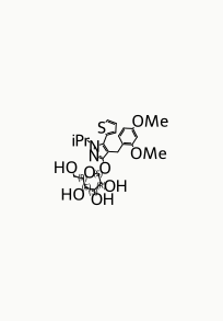 COc1ccc(Cc2c(O[C@@H]3O[C@H](CO)[C@@H](O)[C@H](O)[C@H]3O)nn(C(C)C)c2-c2cccs2)c(OC)c1